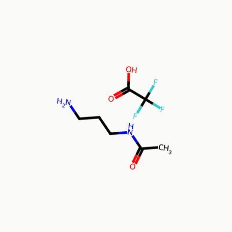 CC(=O)NCCCN.O=C(O)C(F)(F)F